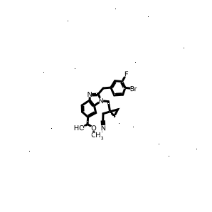 COC(O)c1ccc2nc(Cc3ccc(Br)c(F)c3)n(CC3(CC#N)CC3)c2c1